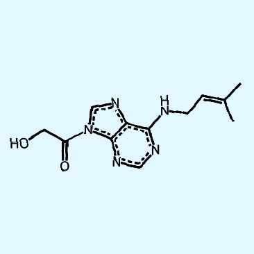 CC(C)=CCNc1ncnc2c1ncn2C(=O)CO